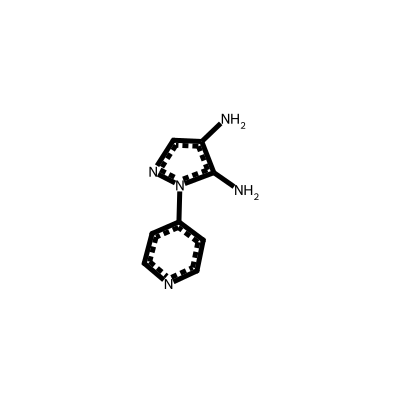 Nc1cnn(-c2ccncc2)c1N